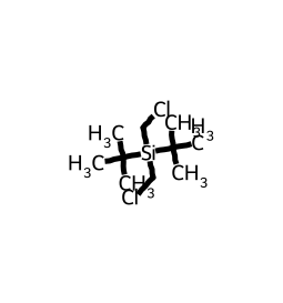 CC(C)(C)[Si](CCl)(CCl)C(C)(C)C